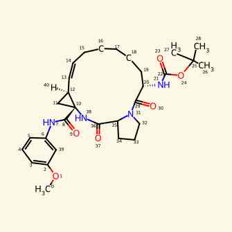 COc1cccc(NC(=O)[C@@]23C[C@H]2/C=C\CCCCC[C@H](NC(=O)OC(C)(C)C)C(=O)N2CCCC2C(=O)N3)c1